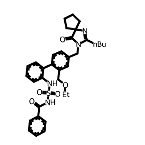 CCCCC1=NC2(CCCC2)C(=O)N1Cc1ccc(-c2ccccc2NS(=O)(=O)NC(=O)c2ccccc2)c(COCC)c1